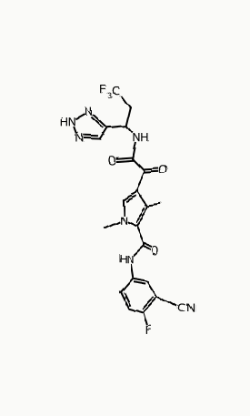 Cc1c(C(=O)C(=O)NC(CC(F)(F)F)c2cn[nH]n2)cn(C)c1C(=O)Nc1ccc(F)c(C#N)c1